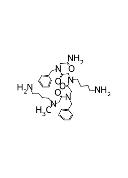 CN(CCCCN)CC(=O)N(CC(=O)N(CCCCN)CC(=O)N(CC(N)=O)Cc1ccccc1)Cc1ccccc1